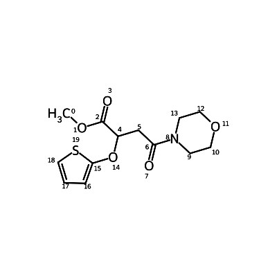 COC(=O)C(CC(=O)N1CCOCC1)Oc1cccs1